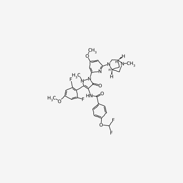 COc1cc(N2C[C@H]3C[C@@H]2CN3C)nc(-n2c(=O)c(NC(=O)c3ccc(OC(F)F)cc3)c(-c3c(F)cc(OC)cc3F)n2C)c1